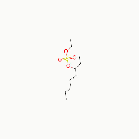 CCCCCC(CC)OS(=O)(=O)OCC